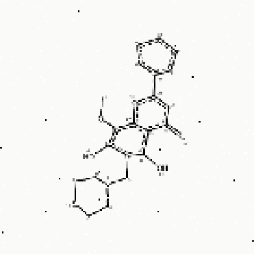 COc1c(O)c(CN2CCSCC2)c(O)c2c(=O)cc(-c3ccccc3)oc12